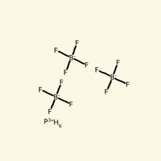 F[B-](F)(F)F.F[B-](F)(F)F.F[B-](F)(F)F.[PH6+3]